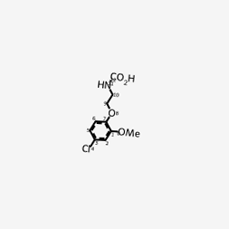 COc1cc(Cl)ccc1OCCNC(=O)O